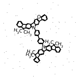 CC1(C)c2ccccc2-c2cc3c4cc5c(cc4n(-c4ccc(-c6ccc(-n7c8cc9c(cc8c8cc%10oc%11ccccc%11c%10cc87)-c7ccccc7C9(C)C)cc6)cc4)c3cc21)C(C)(C)c1ccccc1-5